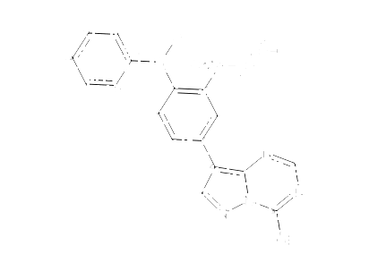 COc1cc(-c2cnn3c(O)ncnc23)ccc1[S+]([O-])c1ccccc1.O.O